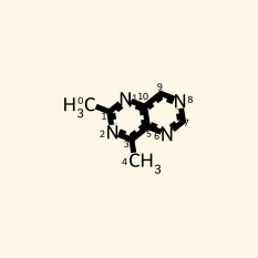 Cc1nc(C)c2ncncc2n1